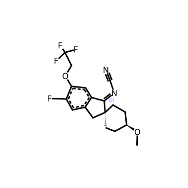 CO[C@H]1CC[C@]2(CC1)Cc1cc(F)c(OCC(F)(F)F)cc1/C2=N\C#N